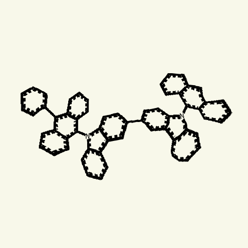 c1ccc(-c2c3ccccc3c(-n3c4ccccc4c4cc(-c5ccc6c(c5)c5ccccc5n6-c5c6ccccc6cc6ccccc56)ccc43)c3ccccc23)cc1